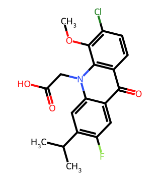 COc1c(Cl)ccc2c(=O)c3cc(F)c(C(C)C)cc3n(CC(=O)O)c12